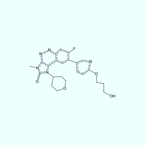 Cn1c(=O)n(C2CCOCC2)c2c3cc(-c4ccc(OCCCO)nc4)c(F)cc3nnc21